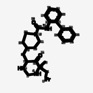 CC(C)CC1(C)NCNC(CC2CCN(C(=O)Nc3ccccc3-c3ccccc3)CC2)C1=O